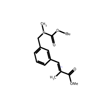 COC(=O)/C(C)=C/c1cccc(CN(C)C(=O)OC(C)(C)C)c1